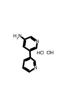 Cl.Cl.Nc1cncc(-c2cccnc2)c1